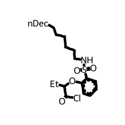 CCCCCCCCCCCCCCCCNS(=O)(=O)c1ccccc1OC(CC)C(=O)Cl